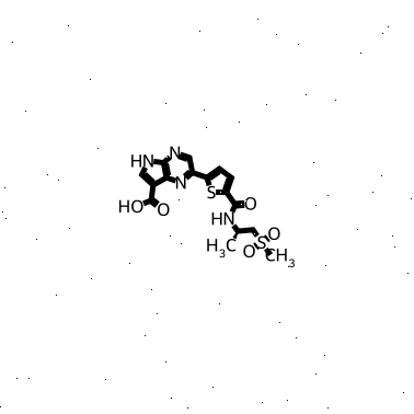 C[C@H](CS(C)(=O)=O)NC(=O)c1ccc(-c2cnc3[nH]cc(C(=O)O)c3n2)s1